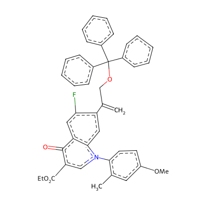 C=C(COC(c1ccccc1)(c1ccccc1)c1ccccc1)c1cc2c(cc1F)c(=O)c(C(=O)OCC)cn2-c1ccc(OC)cc1C